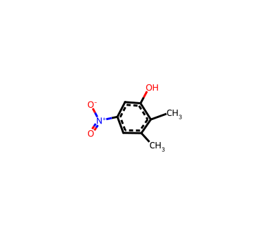 Cc1cc([N+](=O)[O-])cc(O)c1C